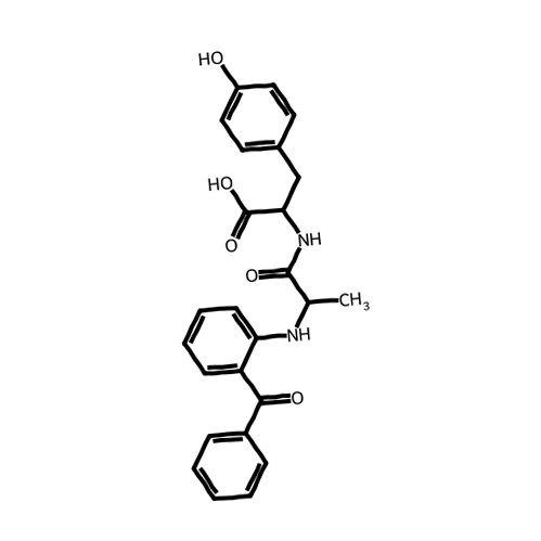 CC(Nc1ccccc1C(=O)c1ccccc1)C(=O)NC(Cc1ccc(O)cc1)C(=O)O